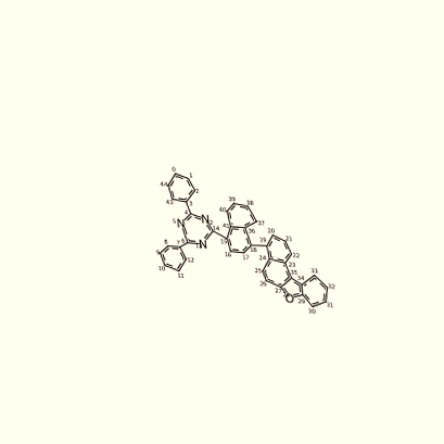 c1ccc(-c2nc(-c3ccccc3)nc(-c3ccc(-c4cccc5c4ccc4oc6ccccc6c45)c4ccccc34)n2)cc1